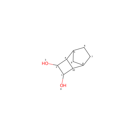 OC1C(O)C2C3CCC(C3)C12